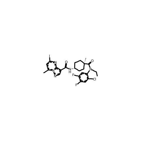 CCN(c1cc(F)c(F)cc1Cl)C(=O)[C@]1(C)CC[C@@H](NC(=O)c2cnn3c(C)cc(I)nc23)CC1